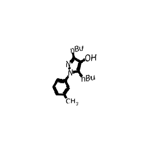 CCCCc1nn(-c2cccc(C)c2)c(CCCC)c1O